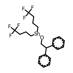 FC(F)(F)CC[CH2][Sn]([CH2]CCC(F)(F)F)[O]CC(c1ccccc1)c1ccccc1